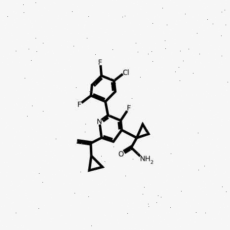 C=C(c1cc(C2(C(N)=O)CC2)c(F)c(-c2cc(Cl)c(F)cc2F)n1)C1CC1